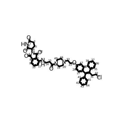 O=C1CCC(N2C(=O)c3cccc(NCCC(=O)N4CCN(CCOc5ccc(C(=C(CCCl)c6ccccc6)c6ccccc6)cc5)CC4)c3C2=O)C(=O)N1